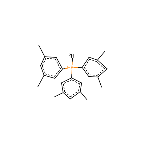 [2H][PH](c1cc(C)cc(C)c1)(c1cc(C)cc(C)c1)c1cc(C)cc(C)c1